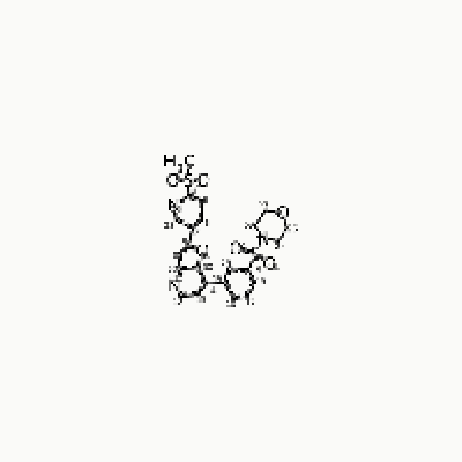 CS(=O)(=O)c1ccc(-c2cc3nccc(-c4cccc(S(=O)(=O)N5CCOCC5)c4)c3o2)cn1